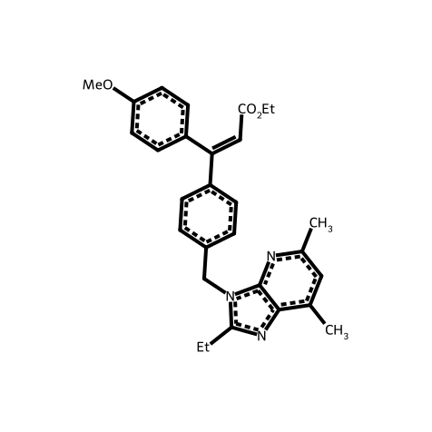 CCOC(=O)C=C(c1ccc(Cn2c(CC)nc3c(C)cc(C)nc32)cc1)c1ccc(OC)cc1